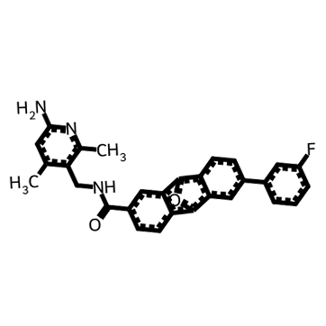 Cc1cc(N)nc(C)c1CNC(=O)c1ccc2c(c1)c1oc2c2cc(-c3cccc(F)c3)ccc21